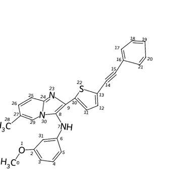 COc1cccc(Nc2c(-c3ccc(C#Cc4ccccc4)s3)nc3ccc(C)cn23)c1